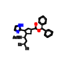 CCC(CC)CC(NC(C)=O)C1CC(C(=O)OC(c2ccccc2)c2ccccc2)CC1c1ncc[nH]1